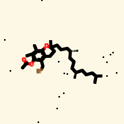 CC(=O)Oc1c(C)c(C)c2c(c1CBr)CCC(C)(CCC[C@H](C)CCC[C@H](C)CCCC(C)C)O2